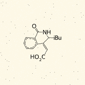 CCC(C)C1NC(=O)c2ccccc2/C1=C\C(=O)O